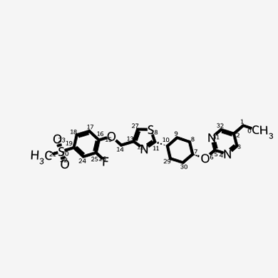 CCc1cnc(O[C@H]2CC[C@@H](c3nc(COc4ccc(S(C)(=O)=O)cc4F)cs3)CC2)nc1